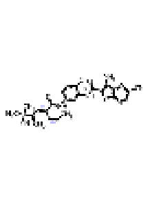 C=C(/C=C(\C=C/C)C(=O)Nc1ccc(C)c(NC(=O)c2sc3ncc(C#N)nc3c2N)c1)C(C)(C)C#N